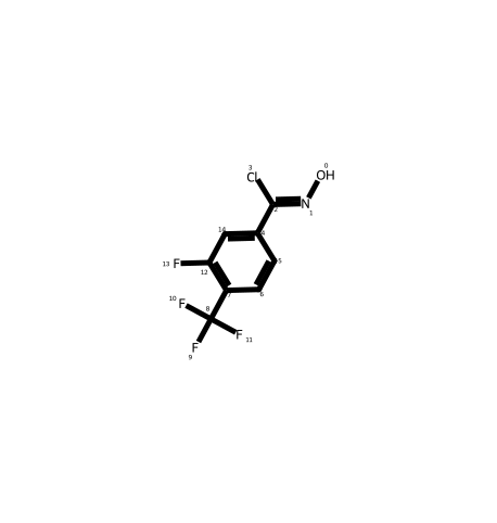 ON=C(Cl)c1ccc(C(F)(F)F)c(F)c1